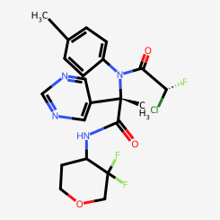 Cc1ccc(N(C(=O)[C@H](F)Cl)[C@](C)(C(=O)NC2CCOCC2(F)F)c2cncnc2)cc1